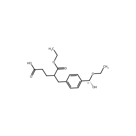 CCOC(=O)C(CCC(=O)O)Cc1ccc([C@@H](O)OCC)cc1